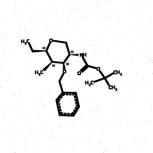 CC[C@H]1OC[C@H](NC(=O)OC(C)(C)C)[C@@H](OCc2ccccc2)[C@H]1C